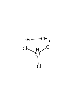 C[C](C)C.[Cl][SnH]([Cl])[Cl]